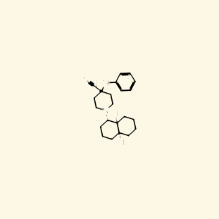 N#CC1(Nc2ccccc2)CCN([C@@H]2CCC[C@H]3CCCC[C@H]32)CC1